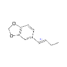 CC/C=C/c1ccc2c(c1)OCO2